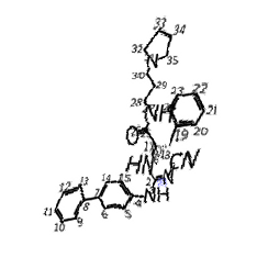 N#C/N=C(/Nc1ccc(-c2ccccc2)cc1)N[C@@H](Cc1ccccc1)C(=O)NCCCN1CCCC1